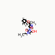 C=CCN1CC(O)N(c2cc(C(C)(C)Oc3ccccc3)no2)C1=O